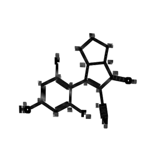 N#CC1=C(c2c(F)cc(O)cc2F)C2CCCC2C1=O